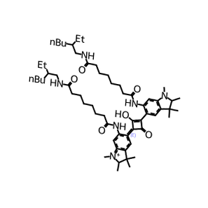 CCCCC(CC)CNC(=O)CCCCCCC(=O)Nc1cc2c(cc1C1=C(O)/C(=c3/cc4c(cc3NC(=O)CCCCCCC(=O)NCC(CC)CCCC)=[N+](C)C(C)C4(C)C)C1=O)C(C)(C)C(C)N2C